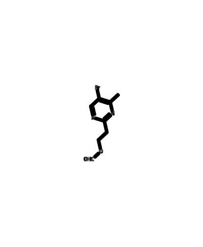 Cc1nc(CCOC=O)ncc1Br